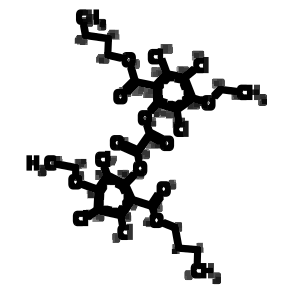 CCCCOC(=O)c1c(Cl)c(Cl)c(OCC)c(Cl)c1OC(=O)C(=O)Oc1c(Cl)c(OCC)c(Cl)c(Cl)c1C(=O)OCCCC